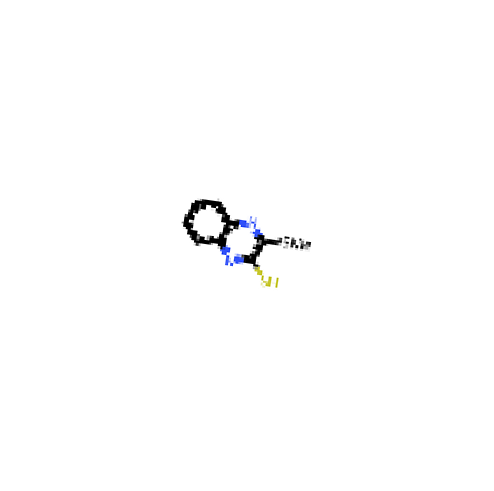 CSc1nc2ccccc2nc1S